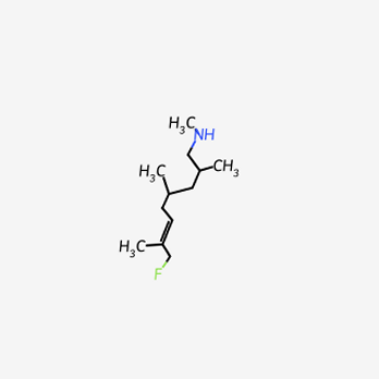 CNCC(C)CC(C)C/C=C(\C)CF